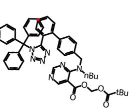 CCCCN(Cc1ccc(-c2ccccc2-c2nnnn2C(c2ccccc2)(c2ccccc2)c2ccccc2)cc1)c1ncncc1C(=O)OCOC(=O)C(C)(C)C